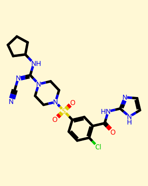 N#C/N=C(/NC1CCCC1)N1CCN(S(=O)(=O)c2ccc(Cl)c(C(=O)Nc3ncc[nH]3)c2)CC1